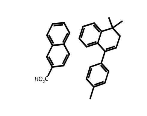 Cc1ccc(C2=CCC(C)(C)c3ccccc32)cc1.O=C(O)c1ccc2ccccc2c1